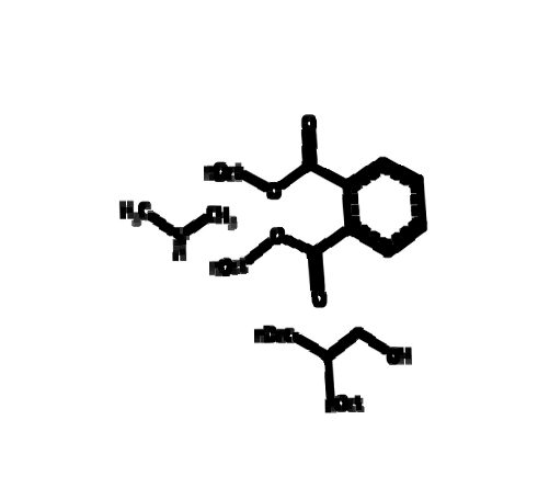 CCCCCCCCCCC(CO)CCCCCCCC.CCCCCCCCOC(=O)c1ccccc1C(=O)OCCCCCCCC.C[SiH]C